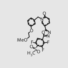 COCCOc1cccc(Cn2cc(-c3nnc(-c4cc(F)c(S(C)(=O)=O)c(F)c4F)o3)ccc2=O)c1